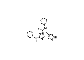 O=C(Nc1ccccc1)[N+]1(Nc2c[nH]nn2)C=NC(Nc2ccccc2)=N1